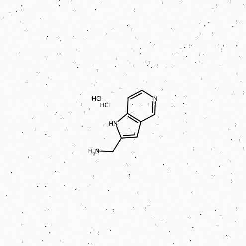 Cl.Cl.NCc1cc2cnccc2[nH]1